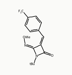 CO/N=C1\C(=C/c2ccc(C(F)(F)F)cc2)C(=O)N1C(C)(C)C